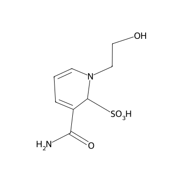 NC(=O)C1=CC=CN(CCO)C1S(=O)(=O)O